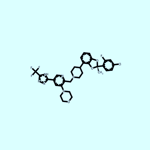 C[C@]1(c2ccc(Cl)cc2F)Oc2cccc(C3CCN(Cc4ncc(-c5nnc(C(F)(F)F)[nH]5)cc4N4CCOCC4)CC3)c2O1